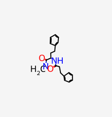 C=NC(=O)C(CCc1ccccc1)NC(=O)CCc1ccccc1